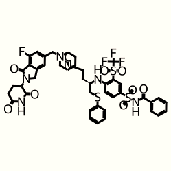 O=C1CCC(N2Cc3cc(CN4CC5CCC4CN5CC[C@H](CSc4ccccc4)Nc4ccc(S(=O)(=O)NC(=O)c5ccccc5)cc4S(=O)(=O)C(F)(F)F)cc(F)c3C2=O)C(=O)N1